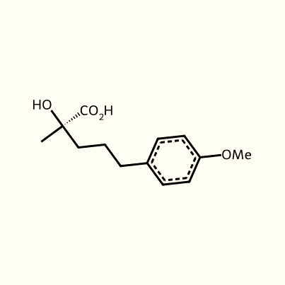 COc1ccc(CCC[C@@](C)(O)C(=O)O)cc1